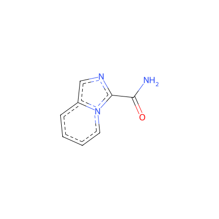 NC(=O)c1ncc2ccccn12